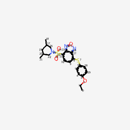 CCOc1ccc(Sc2ccc(S(=O)(=O)N3CC(C)CC(C)C3)c3nonc23)cc1